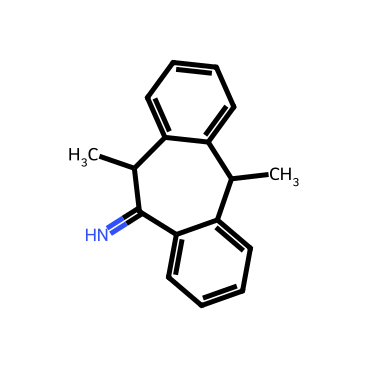 CC1C(=N)c2ccccc2C(C)c2ccccc21